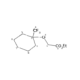 CCOC(=O)COC1(C(F)(F)F)CCCCC1